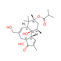 CC1=C[C@H]2[C@@]3(O)[C@H](C)C[C@@](C)(OC(=O)C(C)C)C(C)(C)[C@@H]3C=C(CO)C[C@]2(O)C1=O